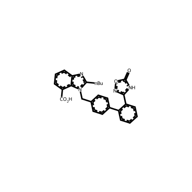 CCCCc1nc2cccc(C(=O)O)c2n1Cc1ccc(-c2ccccc2-c2noc(=O)[nH]2)cc1